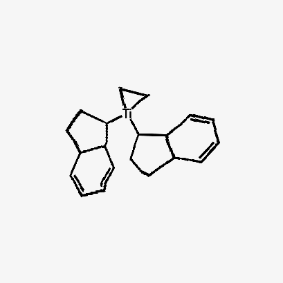 C1=CC2CC[CH]([Ti]3([CH]4CCC5C=CC=CC54)[CH2][CH2]3)C2C=C1